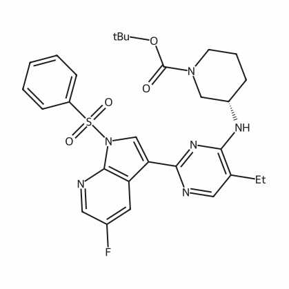 CCc1cnc(-c2cn(S(=O)(=O)c3ccccc3)c3ncc(F)cc23)nc1N[C@H]1CCCN(C(=O)OC(C)(C)C)C1